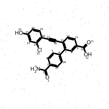 NC(=O)c1ccc(-c2cc(C(=O)O)ccc2C#Cc2ccc(O)cc2Cl)cc1